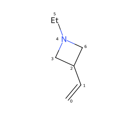 C=CC1CN(CC)C1